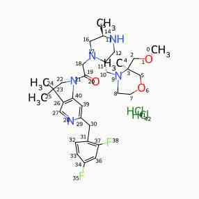 COC[C@@]1(C)COCCN1C[C@H]1CN[C@H](C)CN1CC(=O)N1CC(C)(C)c2cnc(Cc3ccc(F)cc3F)cc21.Cl.Cl